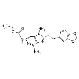 CCOC(=O)Nc1cc2c(nc(SCc3ccc4c(c3)OCO4)n2N)c(N)n1